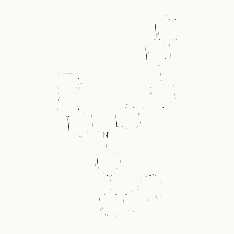 c1cc(-c2ccc(N(c3ccc(-c4cccc5sc6ccccc6c45)cc3)c3ccc4oc5ccccc5c4c3)cc2)cc(-c2ccc3ccccc3c2)c1